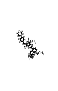 COc1ccc(-c2nc(C(=O)NCc3ccc(N4CCOCC4)cc3)c([C@H](C)N)o2)c2ccc(C(F)(F)F)nc12